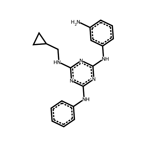 Nc1cccc(Nc2nc(NCC3CC3)nc(Nc3ccccc3)n2)c1